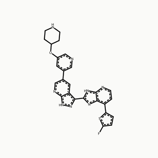 Fc1ccc(-c2ccnc3[nH]c(-c4n[nH]c5ncc(-c6cncc(OC7CCNCC7)c6)cc45)nc23)s1